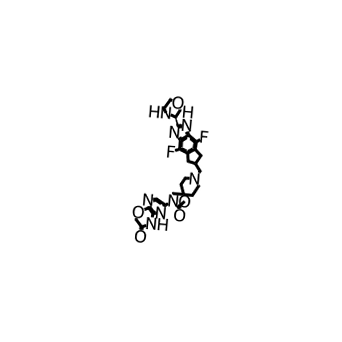 O=C1COc2ncc(N3CC4(CCN(CC5Cc6c(c(F)c7[nH]c([C@@H]8COCCN8)nc7c6F)C5)CC4)OC3=O)nc2N1